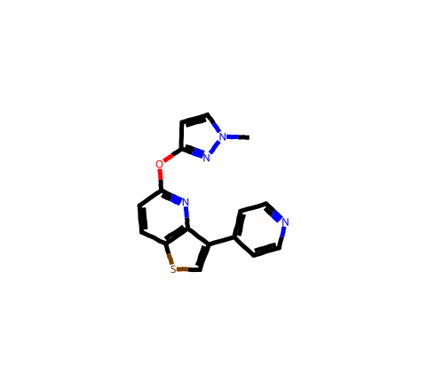 Cn1ccc(Oc2ccc3scc(-c4ccncc4)c3n2)n1